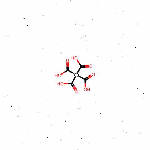 O=[C](O)[Cu]([C](=O)O)([C](=O)O)[C](=O)O